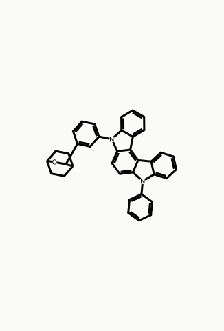 c1ccc(-n2c3ccccc3c3c4c5ccccc5n(-c5cccc(C6CC7CCC6CC7)c5)c4ccc32)cc1